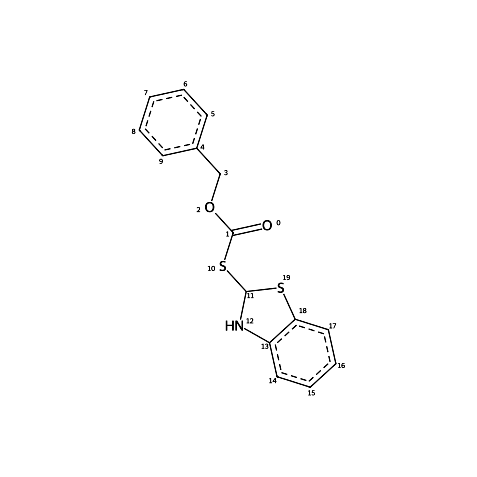 O=C(OCc1ccccc1)SC1Nc2ccccc2S1